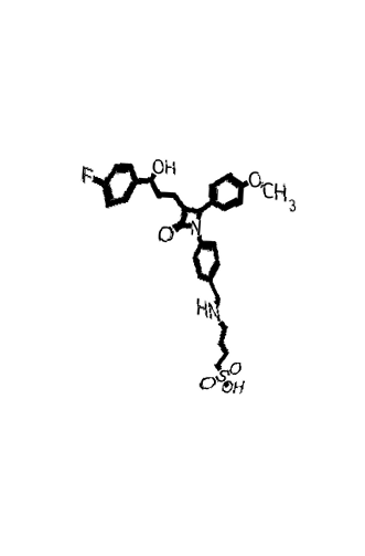 COc1ccc(C2C(CCC(O)c3ccc(F)cc3)C(=O)N2c2ccc(CNCCCCS(=O)(=O)O)cc2)cc1